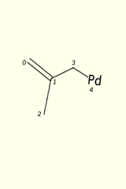 C=C(C)[CH2][Pd]